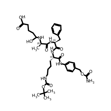 C[C@@H](NC(O)CCCC(=O)O)C(=O)N[C@@H](Cc1ccccc1)C(=O)N[C@@H](CCCCNC(=O)OC(C)(C)C)C(=O)Nc1ccc(COC(N)=O)cc1